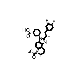 COC(=O)N1c2ccc3c(nc([C@@H](C)Cc4ccc(F)c(F)c4)n3[C@@H]3CCC[C@@H](C(=O)O)C3)c2CC[C@@H]1C